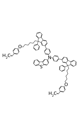 C=Cc1ccc(OCCCCCCC2(c3ccccc3)c3ccccc3-c3ccc(-c4ccc(N(c5ccc(-c6ccc7c(c6)C(CCCCCCOc6ccc(C=C)cc6)(c6ccccc6)c6ccccc6-7)cc5)c5ccc6sc7ccccc7c6c5)cc4)cc32)cc1